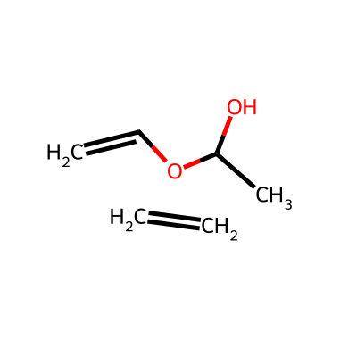 C=C.C=COC(C)O